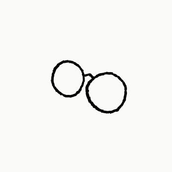 [CH]1CCCCCCCCCC(CC2CCCCCCCC[CH]CCCCCCCCC2)CCCCCCCC1